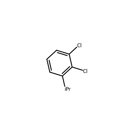 CC(C)c1cccc(Cl)c1Cl